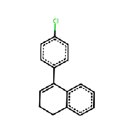 Clc1ccc(C2=CCCc3ccccc32)cc1